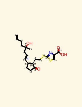 C=CCCC(C)(O)C/C=C/[C@@H]1CCC(=O)[C@@H]1CCSc1nc(C(=O)O)cs1